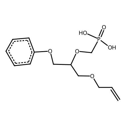 C=CCOCC(COc1ccccc1)OCP(=O)(O)O